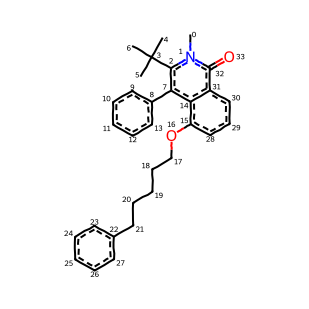 Cn1c(C(C)(C)C)c(-c2ccccc2)c2c(OCCCCCc3ccccc3)cccc2c1=O